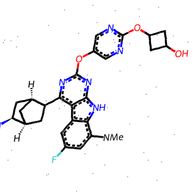 CNc1cc(F)cc2c1[nH]c1nc(Oc3cnc(OC4CC(O)C4)nc3)nc(C3C[C@@H]4C[C@H]3C[C@@H]4N)c12